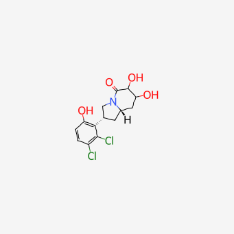 O=C1C(O)C(O)C[C@@H]2C[C@H](c3c(O)ccc(Cl)c3Cl)CN12